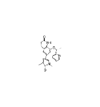 Cc1cc(-c2cc3c(c(O[C@H](C)c4ccccn4)c2)NC(=O)CC3)cn(C)c1=O